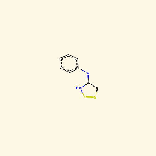 [c]1ccc(N=C2CSSN2)cc1